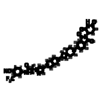 CC(C)(C(=O)Nc1ccc(C#N)c(C(F)(F)F)c1)n1cc(N2CC3CN(C4CC5(CCN(c6ccc7c(c6)C(=O)N(C6CCC(=O)NC6=O)C7=O)CC5)C4)CC3C2)cn1